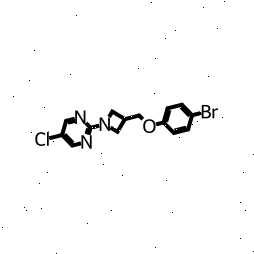 Clc1cnc(N2CC(COc3ccc(Br)cc3)C2)nc1